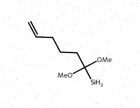 C=CCCCC([SiH3])(OC)OC